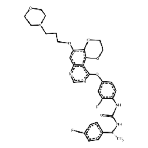 C[C@@H](NC(=O)Nc1ccc(Oc2ncnc3cc(OCCCN4CCOCC4)c4c(c23)OCCO4)cc1F)c1ccc(F)cc1